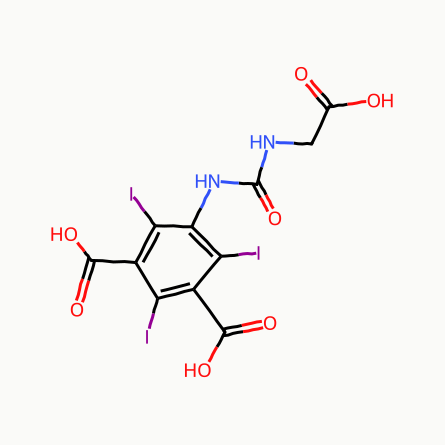 O=C(O)CNC(=O)Nc1c(I)c(C(=O)O)c(I)c(C(=O)O)c1I